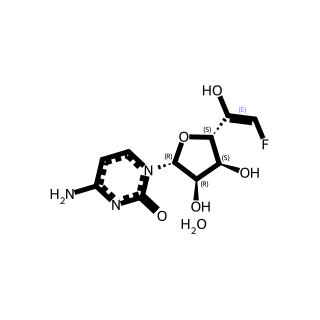 Nc1ccn([C@@H]2O[C@H](/C(O)=C\F)[C@@H](O)[C@H]2O)c(=O)n1.O